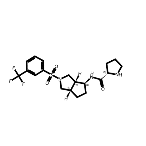 O=C(N[C@H]1CC[C@@H]2CN(S(=O)(=O)c3cccc(C(F)(F)F)c3)C[C@@H]21)[C@@H]1CCCN1